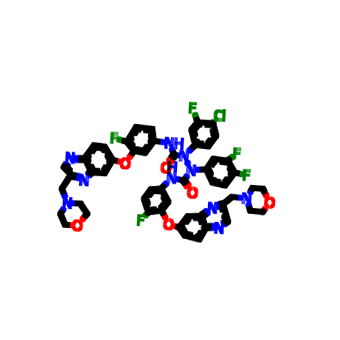 O=C(Nc1ccc(F)c(Oc2ccc3ncc(CN4CCOCC4)nc3c2)c1)N(c1ccc(F)c(F)c1)N(C(=O)Nc1ccc(F)c(Oc2ccc3ncc(CN4CCOCC4)nc3c2)c1)c1ccc(Cl)c(F)c1